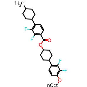 CCCCCCCCOc1ccc(C2CCC(OC(=O)c3ccc(C4CCC(C)CC4)c(F)c3F)CC2)c(F)c1F